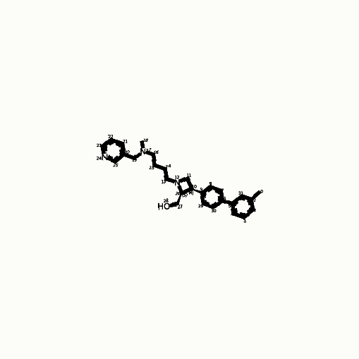 Cc1cccc(-c2ccc([C@@H]3CN(CCCCN(C)Cc4cccnc4)[C@@H]3CO)cc2)c1